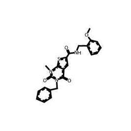 COc1ccccc1CNC(=O)c1cc2c(=O)n(Cc3ccccc3)c(=O)n(C)c2s1